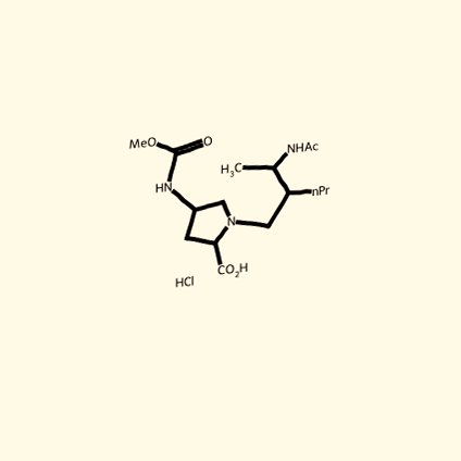 CCCC(CN1CC(NC(=O)OC)CC1C(=O)O)C(C)NC(C)=O.Cl